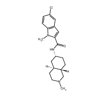 CN1CC[C@H]2C[C@H](NC(=O)c3cc4cc(Cl)ccc4n3C)CC[C@@H]2C1